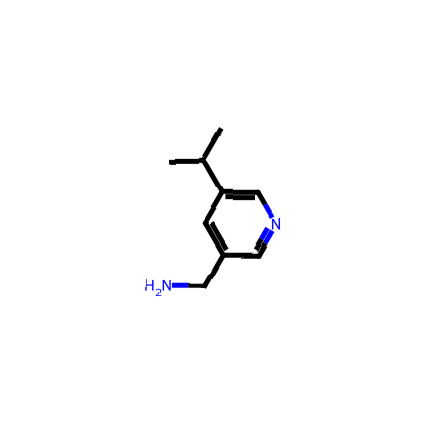 CC(C)c1cncc(CN)c1